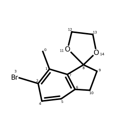 Cc1c(Br)ccc2c1C1(CC2)OCCO1